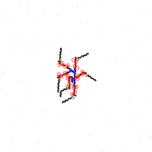 CCCCCCCCSC(C)C(=O)OCCOC(=O)CCN(CCCCCN(CCC(=O)OCCOC(=O)C(C)SCCCCCCCC)CCN(CCC(=O)OCCOC(=O)C(C)SCCCCCCCC)CCC(=O)OCCOC(=O)C(C)SCCCCCCCC)CCN(CCC(=O)OCCOC(=O)C(C)SCCCCCCCC)CCC(=O)OCCOC(=O)C(C)SCCCCCCCC